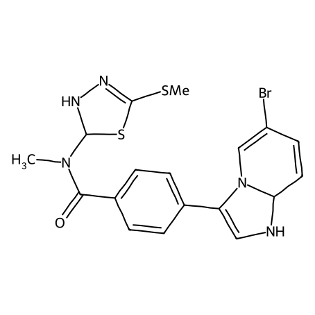 CSC1=NNC(N(C)C(=O)c2ccc(C3=CNC4C=CC(Br)=CN34)cc2)S1